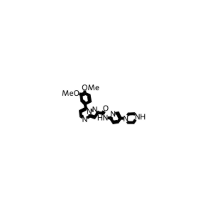 COc1ccc(-c2ccnc3cc(C(=O)Nc4ccc(N5CCNCC5)cn4)nn23)cc1OC